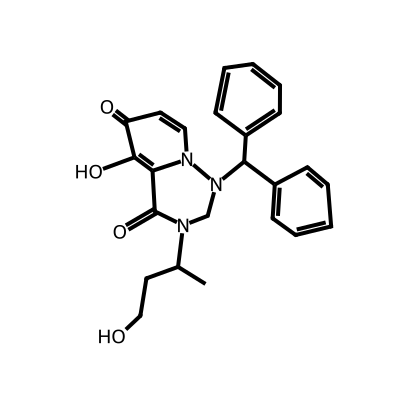 CC(CCO)N1CN(C(c2ccccc2)c2ccccc2)n2ccc(=O)c(O)c2C1=O